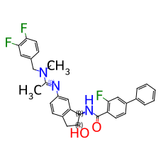 C/C(=N\c1ccc2c(c1)[C@@H](NC(=O)c1ccc(-c3ccccc3)cc1F)[C@H](O)C2)N(C)Cc1ccc(F)c(F)c1